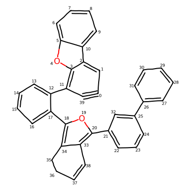 c1cc2c(oc3ccccc32)c(-c2ccccc2-c2oc(-c3cccc(-c4ccccc4)c3)c3c2CCC=C3)c#1